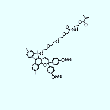 C=C(C)C(=O)OCCNC(=O)COCCOCCOCCOC1(C)c2cc(C)ccc2-c2c1c1c(c3cc(C)ccc23)OC(c2ccc(OC)cc2)(c2ccc(OC)cc2)C=C1